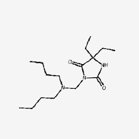 CCCCN(CCCC)CN1C(=O)NC(CC)(CC)C1=O